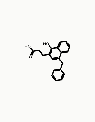 O=C(O)CCc1cc(Cc2ccccc2)c2ccccc2c1O